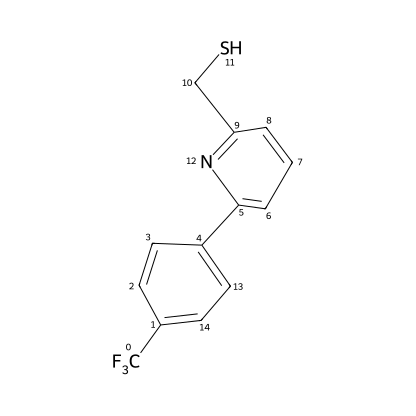 FC(F)(F)c1ccc(-c2cccc(CS)n2)cc1